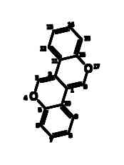 C1=C2C(=COc3ccccc32)c2ccccc2O1